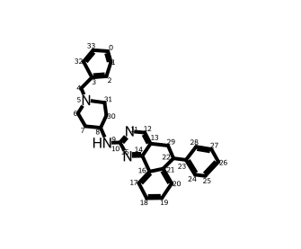 c1ccc(CN2CCC(Nc3ncc4c(n3)-c3ccccc3C(c3ccccc3)C4)CC2)cc1